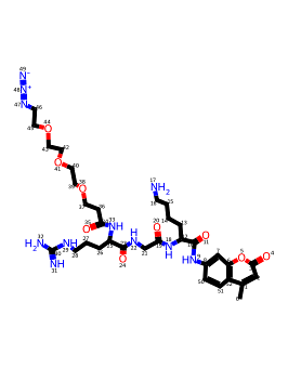 Cc1cc(=O)oc2cc(NC(=O)C(CCCCN)NC(=O)CNC(=O)C(CCCNC(=N)N)NC(=O)CCOCCOCCOCCN=[N+]=[N-])ccc12